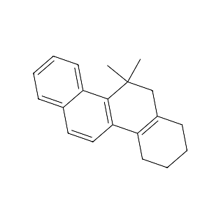 CC1(C)CC2=C(CCCC2)c2ccc3ccccc3c21